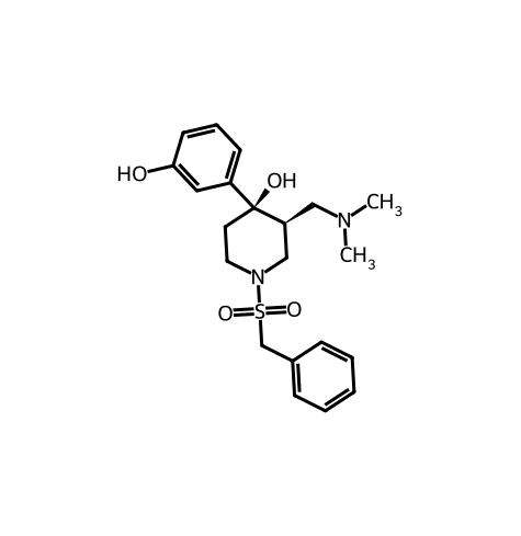 CN(C)C[C@H]1CN(S(=O)(=O)Cc2ccccc2)CC[C@]1(O)c1cccc(O)c1